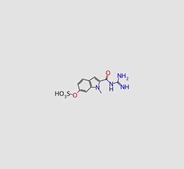 Cn1c(C(=O)NC(=N)N)cc2ccc(OS(=O)(=O)O)cc21